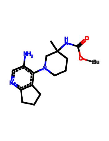 CC1(NC(=O)OC(C)(C)C)CCCN(c2c(N)cnc3c2CCC3)C1